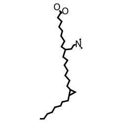 CCCCCCCCC1CC1CCCCCCCC(CCCCCCCC(=O)OC)CCN(C)C